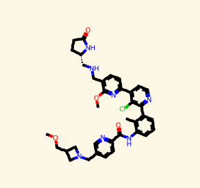 COCC1CN(Cc2ccc(C(=O)Nc3cccc(-c4nccc(-c5ccc(CNC[C@@H]6CCC(=O)N6)c(OC)n5)c4Cl)c3C)nc2)C1